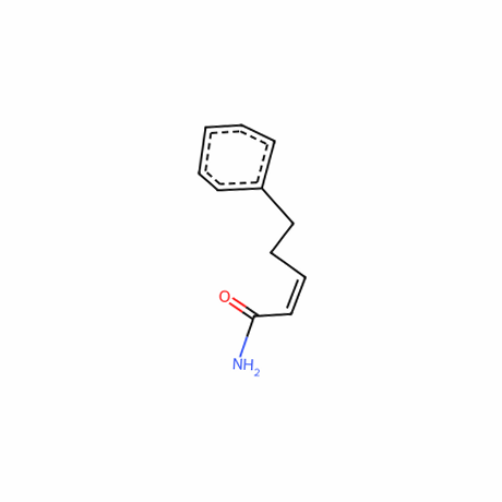 NC(=O)/C=C\CCc1ccccc1